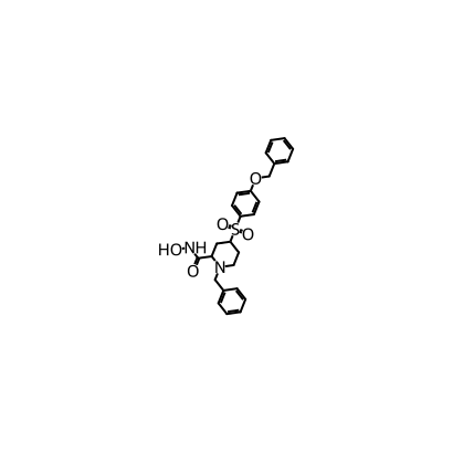 O=C(NO)C1CC(S(=O)(=O)c2ccc(OCc3ccccc3)cc2)CCN1Cc1ccccc1